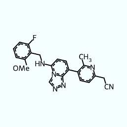 COc1cccc(F)c1CNc1ccc(-c2ccc(CC#N)nc2C)c2nncn12